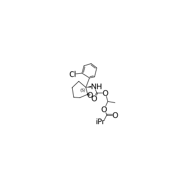 CC(OC(=O)N[C@]1(c2ccccc2Cl)CCCCC1=O)OC(=O)C(C)C